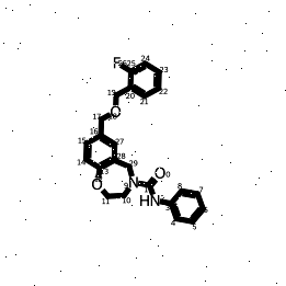 O=C(Nc1ccccc1)N1CCOc2ccc(COCc3ccccc3F)cc2C1